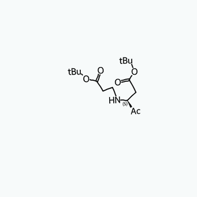 CC(=O)[C@H](CC(=O)OC(C)(C)C)NCCC(=O)OC(C)(C)C